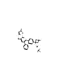 Cc1cc2ncc3cc(-c4ccccc4)c(-c4ccc(C5(NC(=O)OC(C)(C)C)CC(F)(F)C5)cc4)nc3n2n1